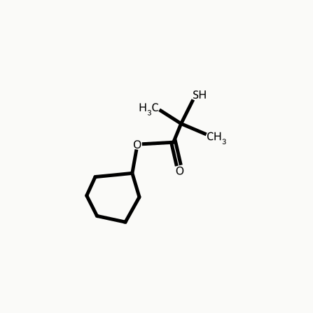 CC(C)(S)C(=O)OC1CCCCC1